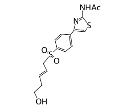 CC(=O)Nc1nc(-c2ccc(S(=O)(=O)CC=CCCO)cc2)cs1